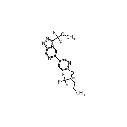 CCC[C@H](Oc1ccc(-c2cn3c(C(F)(F)OC)nnc3cn2)cn1)C(F)(F)F